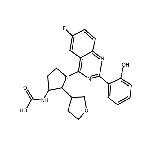 O=C(O)NC1CCN(c2nc(-c3ccccc3O)nc3ccc(F)cc23)C1C1CCOC1